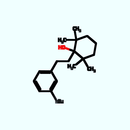 CCCCc1cccc(CCC2(O)C(C)(C)CCCC2(C)C)c1